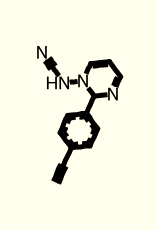 C#Cc1ccc(C2N=CC=CN2NC#N)cc1